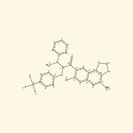 CC(c1ncccn1)N(Cc1ccc(C(F)(F)F)cn1)C(=O)c1cc2c3c(c(N)nc2cc1Cl)COC3